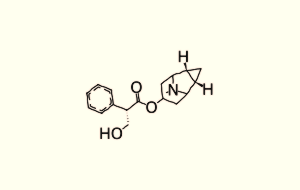 CN1C2CC(OC(=O)[C@H](CO)c3ccccc3)CC1[C@@H]1C[C@H]21